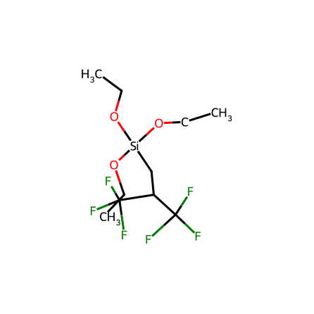 CCO[Si](CC(C(F)(F)F)C(F)(F)F)(OCC)OCC